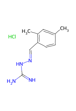 Cc1ccc(C=NNC(=N)N)c(C)c1.Cl